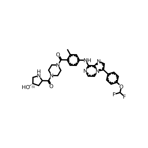 Cc1cc(Nc2nccn3c(-c4ccc(OC(F)F)cc4)cnc23)ccc1C(=O)N1CCN(C(=O)C2C[C@H](O)CN2)CC1